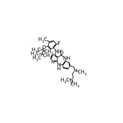 Cc1cc(F)c(Nc2ccnc3c2C(=O)Nc2cc(CN(C)CCN(C)C)ccc2N3)cc1O[Si](C)(C)C(C)(C)C